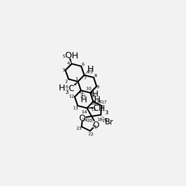 C[C@@]12CC[C@@H](O)C[C@H]1CC[C@H]1[C@H]2CC[C@]2(C)[C@@H]1C[C@H](Br)C21OCCO1